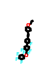 C=CCOc1ccc(C#Cc2ccc(-c3cc(F)c(C(F)(F)Oc4cc(F)c(F)c(F)c4)c(F)c3)c(F)c2)cc1